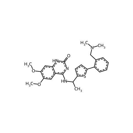 COc1cc2[nH]c(=O)nc(NC(C)c3ccc(-c4ccccc4CN(C)C)s3)c2cc1OC